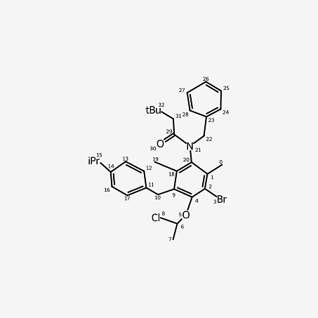 Cc1c(Br)c(OC(C)Cl)c(Cc2ccc(C(C)C)cc2)c(C)c1N(Cc1ccccc1)C(=O)CC(C)(C)C